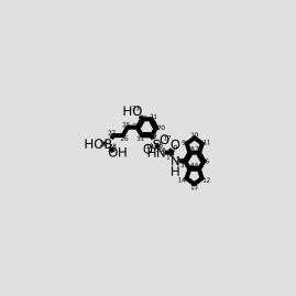 O=C(Nc1c2c(cc3c1CCC3)CCC2)NS(=O)(=O)c1ccc(O)c(CCCB(O)O)c1